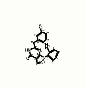 Nc1ccccc1-n1ncc2c(=O)[nH]c(Cc3cccc(Cl)c3)nc21